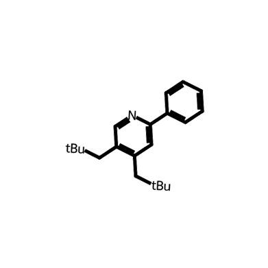 CC(C)(C)Cc1cnc(-c2ccccc2)cc1CC(C)(C)C